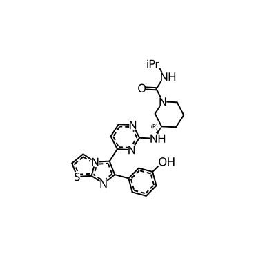 CC(C)NC(=O)N1CCC[C@@H](Nc2nccc(-c3c(-c4cccc(O)c4)nc4sccn34)n2)C1